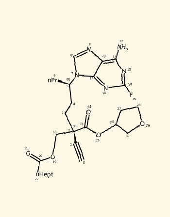 C#C[C@](CC[C@@H](CCC)n1cnc2c(N)nc(F)nc21)(COC(=O)CCCCCCC)C(=O)OC1CCOC1